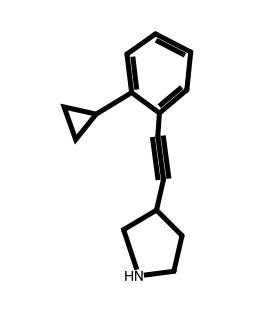 C(#CC1CCNC1)c1ccccc1C1CC1